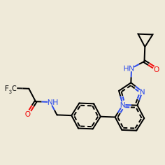 O=C(CC(F)(F)F)NCc1ccc(-c2cccc3nc(NC(=O)C4CC4)cn23)cc1